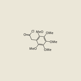 COc1c(CC(=O)Cl)c(OC)c(OC)c(OC)c1OC